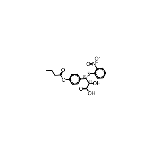 CCCC(=O)Oc1ccc([C@H](Sc2ccccc2[N+](=O)[O-])[C@@H](O)C(=O)O)cc1